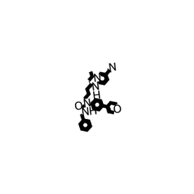 CCC[C@@H](CCCN(C(=O)NCc1ccccc1)c1ccc(C2=CCOCC2)cc1)Nc1ccc(C#N)cn1